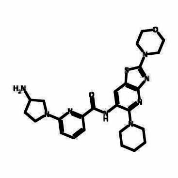 NC1CCN(c2cccc(C(=O)Nc3cc4sc(N5CCOCC5)nc4nc3N3CCCCC3)n2)C1